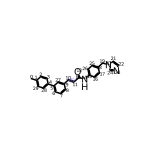 Cc1ccc(-c2cccc(/C=C/C(=O)Nc3ccc(Cn4ccnc4)cc3)c2)cc1